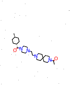 CC(=O)N1CCC2(CCN(CCN3CCN(C(=O)[C@H]4CC[C@H](C)CC4)CC3)CC2)CC1